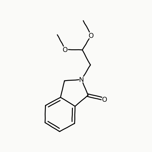 COC(CN1Cc2ccccc2C1=O)OC